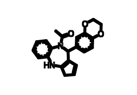 CC(=O)N1c2ccccc2NC2=C(C=CC2)C1c1ccc2c(c1)OCCO2